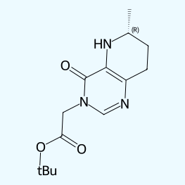 C[C@@H]1CCc2ncn(CC(=O)OC(C)(C)C)c(=O)c2N1